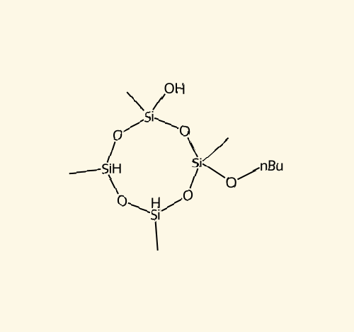 CCCCO[Si]1(C)O[SiH](C)O[SiH](C)O[Si](C)(O)O1